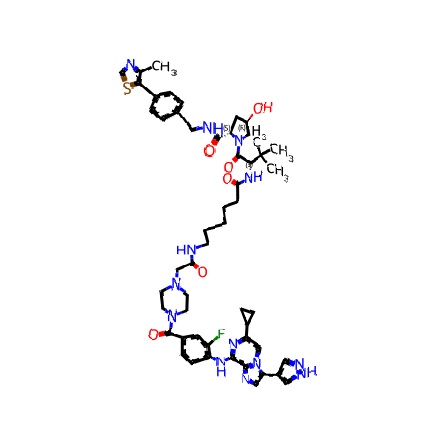 Cc1ncsc1-c1ccc(CNC(=O)[C@@H]2C[C@@H](O)CN2C(=O)[C@@H](NC(=O)CCCCCNC(=O)CN2CCN(C(=O)c3ccc(Nc4nc(C5CC5)cn5c(-c6cn[nH]c6)cnc45)c(F)c3)CC2)C(C)(C)C)cc1